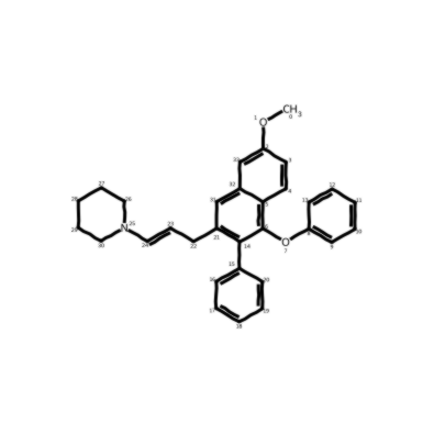 COc1ccc2c(Oc3ccccc3)c(-c3ccccc3)c(CC=CN3CCCCC3)cc2c1